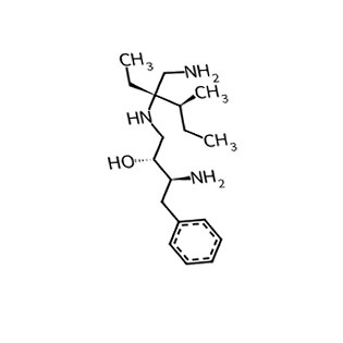 CC[C@H](C)[C@@](CC)(CN)NC[C@@H](O)[C@@H](N)Cc1ccccc1